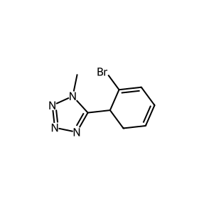 Cn1nnnc1C1CC=CC=C1Br